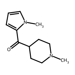 CN1CCC(C(=O)c2cccn2C)CC1